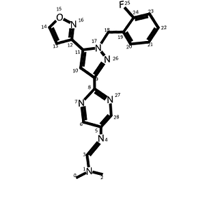 CN(C)/C=N/c1cnc(-c2cc(-c3ccon3)n(Cc3ccccc3F)n2)nc1